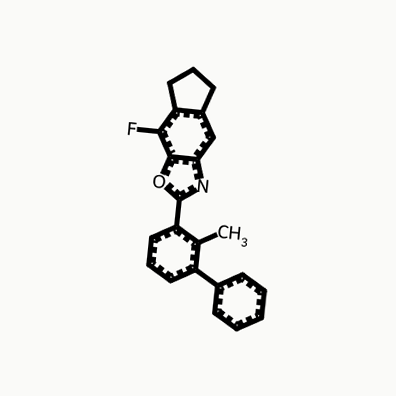 Cc1c(-c2ccccc2)cccc1-c1nc2cc3c(c(F)c2o1)CCC3